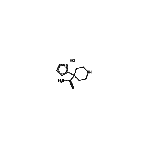 Cl.NC(=O)C1(c2cccs2)CCNCC1